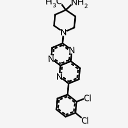 CC1(N)CCN(c2cnc3nc(-c4cccc(Cl)c4Cl)ccc3n2)CC1